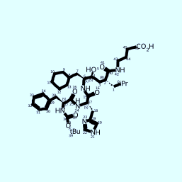 CC(C)C[C@H](C[C@H](O)[C@H](CC1CCCCC1)NC(=O)[C@H](Cc1c[nH]cn1)NC(=O)[C@H](Cc1ccccc1)NC(=O)OC(C)(C)C)C(=O)NCCCC(=O)O